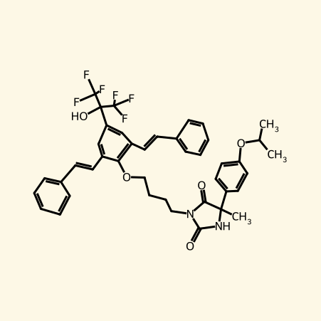 CC(C)Oc1ccc(C2(C)NC(=O)N(CCCCOc3c(C=Cc4ccccc4)cc(C(O)(C(F)(F)F)C(F)(F)F)cc3C=Cc3ccccc3)C2=O)cc1